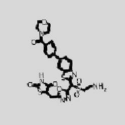 NCCS(=O)(=O)C(c1nnc(CC2SC(=O)NC2=O)o1)c1nc2ccc(-c3ccc(C(=O)N4CCOCC4)cc3)cc2s1